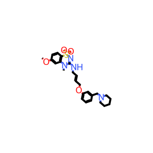 COc1ccc2c(c1)N(C)C(NCC=CCOc1cccc(CN3CCCCC3)c1)=NS2(=O)=O